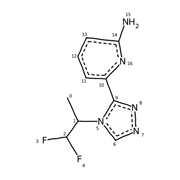 CC(C(F)F)n1cnnc1-c1cccc(N)n1